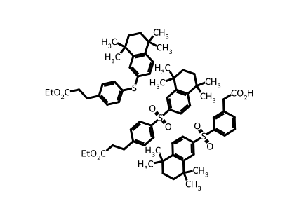 CC1(C)CCC(C)(C)c2cc(S(=O)(=O)c3cccc(CC(=O)O)c3)ccc21.CCOC(=O)CCc1ccc(S(=O)(=O)c2ccc3c(c2)C(C)(C)CCC3(C)C)cc1.CCOC(=O)CCc1ccc(Sc2ccc3c(c2)C(C)(C)CCC3(C)C)cc1